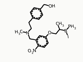 CC(COc1ccc([N+](=O)[O-])c(CN(C)CCc2ccc(CO)cc2)c1)B(P)I